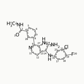 CNC(=O)c1cccc(-c2nccc3c(Nc4ccc(F)c(Cl)c4)c(N)[nH]c23)c1